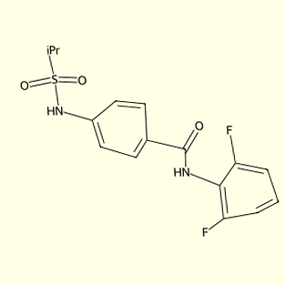 CC(C)S(=O)(=O)Nc1ccc(C(=O)Nc2c(F)cccc2F)cc1